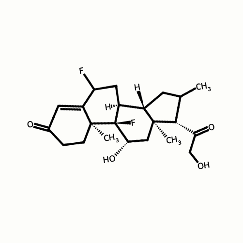 CC1C[C@H]2[C@@H]3CC(F)C4=CC(=O)CC[C@]4(C)[C@@]3(F)[C@@H](O)C[C@]2(C)[C@H]1C(=O)CO